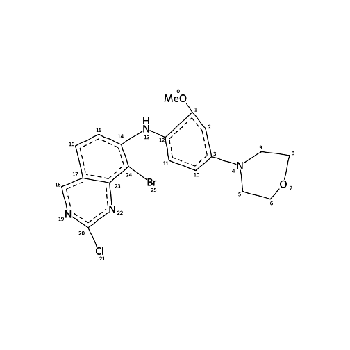 COc1cc(N2CCOCC2)ccc1Nc1ccc2cnc(Cl)nc2c1Br